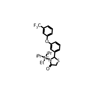 CC[N+](C(C)C)(C(C)C)N1C(=O)CSC1c1cccc(Oc2cccc(C(F)(F)F)c2)c1